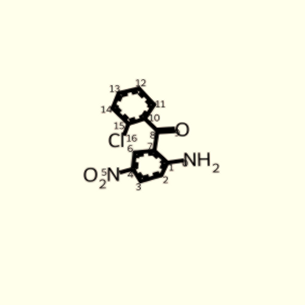 Nc1ccc([N+](=O)[O-])cc1C(=O)c1ccccc1Cl